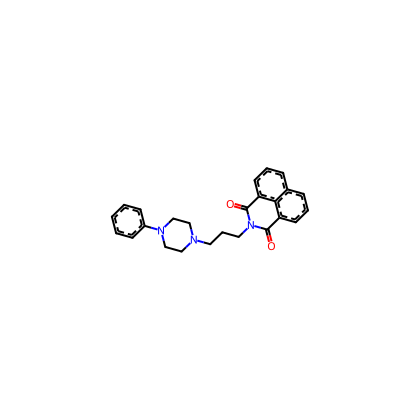 O=C1c2cccc3cccc(c23)C(=O)N1CCCN1CCN(c2ccccc2)CC1